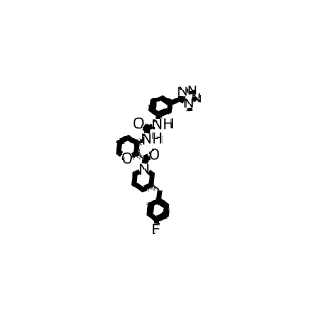 Cn1nnnc1-c1cccc(NC(=O)N[C@@H]2CCCO[C@H]2C(=O)N2CCC[C@@H](Cc3ccc(F)cc3)C2)c1